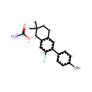 CCCCc1ccc(-c2cc3c(cc2F)[C@H](OC(N)=O)C(C)(C)CC3)cc1